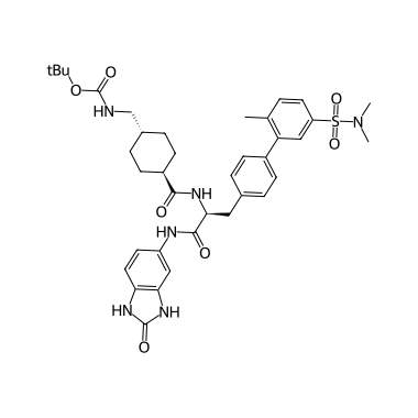 Cc1ccc(S(=O)(=O)N(C)C)cc1-c1ccc(C[C@H](NC(=O)[C@H]2CC[C@H](CNC(=O)OC(C)(C)C)CC2)C(=O)Nc2ccc3[nH]c(=O)[nH]c3c2)cc1